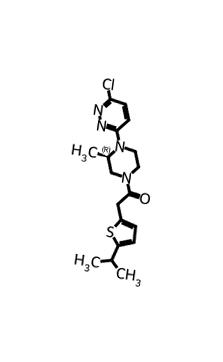 CC(C)c1ccc(CC(=O)N2CCN(c3ccc(Cl)nn3)[C@H](C)C2)s1